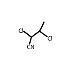 CC(Cl)C(Cl)C#N